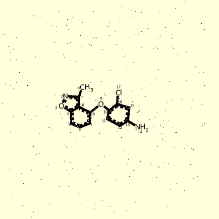 Cc1noc2cccc(Oc3ccc(N)cc3Cl)c12